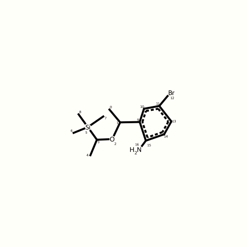 CC(OC(C)[Si](C)(C)C)c1cc(Br)ccc1N